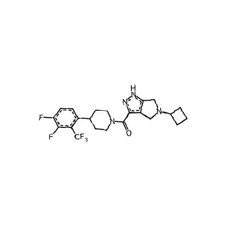 O=C(c1n[nH]c2c1CN(C1CCC1)C2)N1CCC(c2ccc(F)c(F)c2C(F)(F)F)CC1